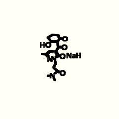 Cc1cc(C(=O)C2=C(O)CCCC2=O)c(=O)n(CCC(=O)N(C)C)n1.[NaH]